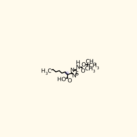 CCCCC/C=C(\C(=O)O)c1nsc(NC(=O)OC(C)(C)C)n1